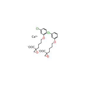 O=C([O-])C1(CCCCOc2cccc(Cl)c2)CO1.O=C([O-])C1(CCCCOc2cccc(Cl)c2)CO1.[Ca+2]